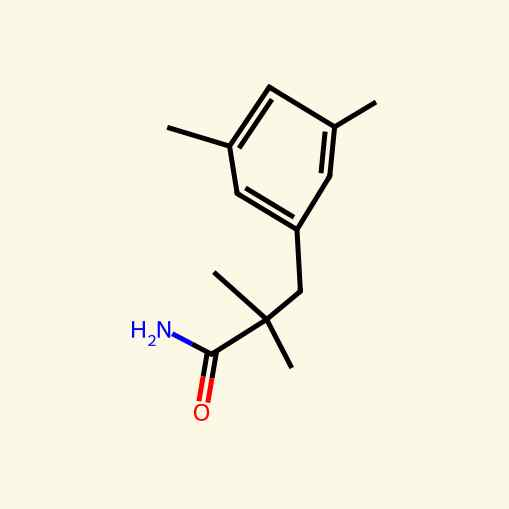 Cc1cc(C)cc(CC(C)(C)C(N)=O)c1